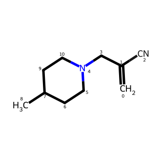 C=C(C#N)CN1CCC(C)CC1